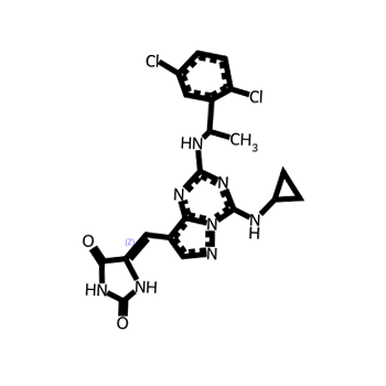 CC(Nc1nc(NC2CC2)n2ncc(/C=C3\NC(=O)NC3=O)c2n1)c1cc(Cl)ccc1Cl